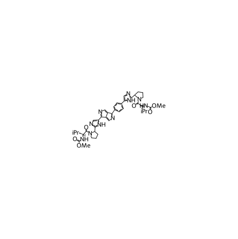 COC(=O)N[C@H](C(=O)N1CCCC1c1ncc(C2=NC=C3C2=CN=C3c2ccc(-c3cnc(C4CCCN4C(=O)[C@@H](NC(=O)OC)C(C)C)[nH]3)cc2)[nH]1)C(C)C